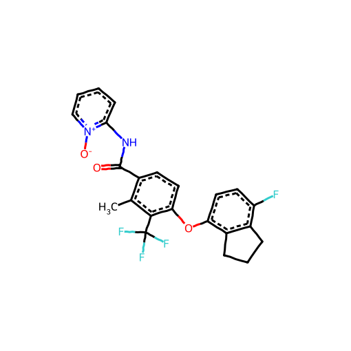 Cc1c(C(=O)Nc2cccc[n+]2[O-])ccc(Oc2ccc(F)c3c2CCC3)c1C(F)(F)F